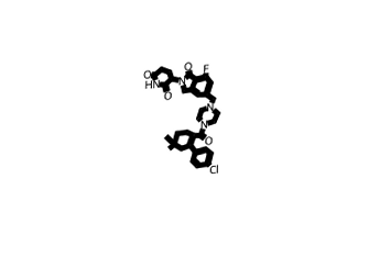 CC1(C)CCC(C(=O)N2CCN(Cc3cc(F)c4c(c3)CN(C3CCC(=O)NC3=O)C4=O)CC2)=C(c2ccc(Cl)cc2)C1